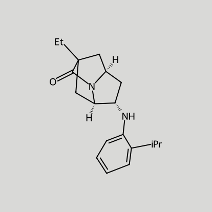 CCC12C[C@H]3C[C@H](Nc4ccccc4C(C)C)[C@@H](C1)N3C2=O